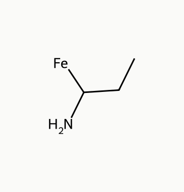 CC[CH](N)[Fe]